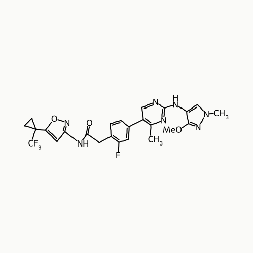 COc1nn(C)cc1Nc1ncc(-c2ccc(CC(=O)Nc3cc(C4(C(F)(F)F)CC4)on3)c(F)c2)c(C)n1